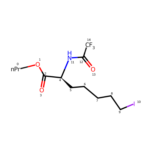 CCCOC(=O)[C@H](CCCCCI)NC(=O)C(F)(F)F